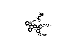 CCC(=O)CCC(=O)OCCOC1(C)c2ccccc2-c2c1c1c(c3ccccc23)OC(c2ccc(OC)cc2)(c2ccc(OC)cc2)C=C1